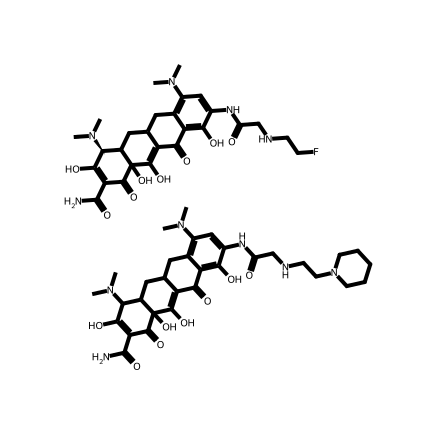 CN(C)c1cc(NC(=O)CNCCF)c(O)c2c1CC1CC3[C@H](N(C)C)C(O)=C(C(N)=O)C(=O)C3(O)C(O)=C1C2=O.CN(C)c1cc(NC(=O)CNCCN2CCCCC2)c(O)c2c1CC1CC3C(N(C)C)C(O)=C(C(N)=O)C(=O)C3(O)C(O)=C1C2=O